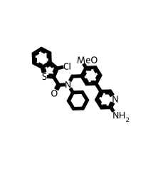 COc1ccc(-c2ccc(N)nc2)cc1CN(C(=O)c1sc2ccccc2c1Cl)C1CCCCC1